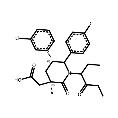 CCC(=O)C(CC)N1C(=O)[C@@](C)(CC(=O)O)C[C@H](c2cccc(Cl)c2)C1c1ccc(Cl)cc1